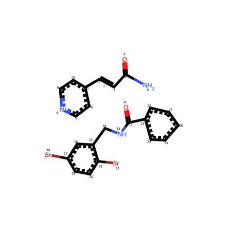 NC(=O)/C=C/c1ccncc1.O=C(NCc1cc(Br)ccc1Br)c1ccccc1